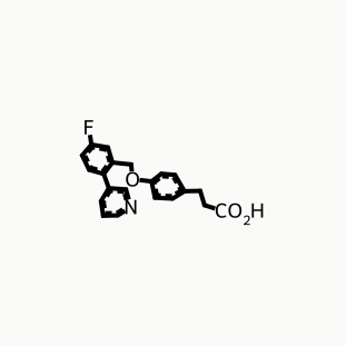 O=C(O)CCc1ccc(OCc2cc(F)ccc2-c2cccnc2)cc1